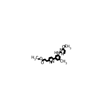 CCOC(=O)CCc1ccc(-c2cc(C)cc(Nc3nccc(OC)n3)c2)nn1